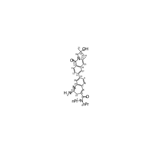 CCCN(CCC)C(=O)C1=Cc2ccc(-c3ccc4c(=O)n(CC(C)(C)O)c(C)cc4c3)cc2N=C(N)C1